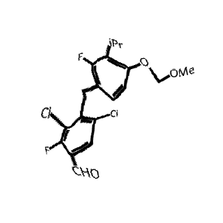 COCOc1ccc(Cc2c(Cl)cc(C=O)c(F)c2Cl)c(F)c1C(C)C